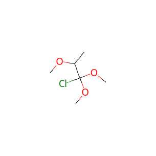 COC(C)C(Cl)(OC)OC